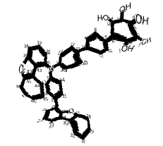 Oc1c(O)c(O)c(-c2ccc(-c3ccc(N(c4ccc(-c5cccc6c5oc5ccccc56)cc4)c4cccc5oc6c(c45)CC=CC=C6)cc3)cc2)c(O)c1O